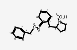 O=C(O)N1CCCC1CC1=CC=CCC1=NOCc1ccccc1